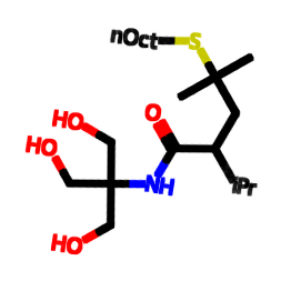 CCCCCCCCSC(C)(C)CC(C(=O)NC(CO)(CO)CO)C(C)C